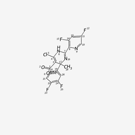 COC(=O)C1=C(Cl)NC(c2ncc(F)cc2F)=NC1(C)c1ccc(F)c(F)c1